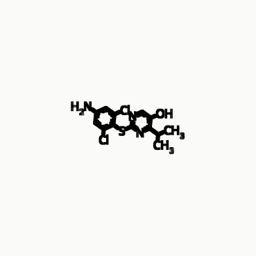 CC(C)c1nc(Sc2c(Cl)cc(N)cc2Cl)ncc1O